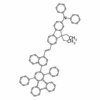 CCC1(CC)c2cc(/C=C/c3ccc(-c4cc(-c5ccccc5)c5c6ccccc6c6ccccc6c5c4-c4ccccc4)c4ccccc34)ccc2-c2ccc(N(c3ccccc3)c3ccccc3)cc21